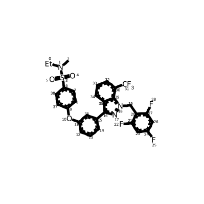 CCN(C)S(=O)(=O)c1ccc(Oc2cccc(-c3nn(Cc4c(F)cc(F)cc4F)c4c(C(F)(F)F)cccc34)c2)cc1